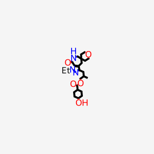 CCn1nc(CC(C)COC(=O)C2CCC(O)CC2)c2c1C(=O)NCC1(CCOCC1)C2